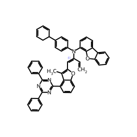 C=C/C(=C\c1oc2cccc(-c3nc(-c4ccccc4)nc(-c4ccccc4)n3)c2c1C)N(c1ccc(C2C=CC=CC2)cc1)c1cccc2c1oc1ccccc12